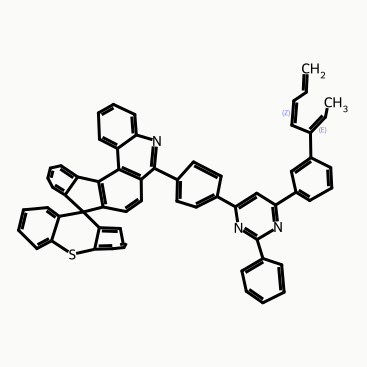 C=C/C=C\C(=C/C)c1cccc(-c2cc(-c3ccc(-c4nc5ccccc5c5c6c(ccc45)C4(c5ccccc5Sc5ccccc54)c4ccccc4-6)cc3)nc(-c3ccccc3)n2)c1